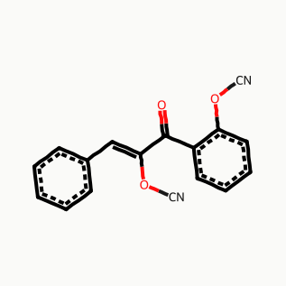 N#COC(=Cc1ccccc1)C(=O)c1ccccc1OC#N